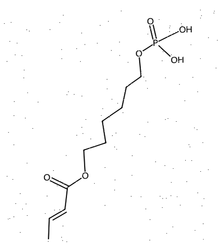 CC=CC(=O)OCCCCCCOP(=O)(O)O